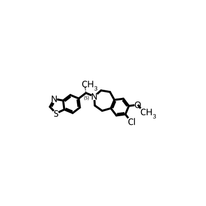 COc1cc2c(cc1Cl)CCN([C@@H](C)c1ccc3scnc3c1)CC2